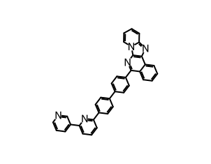 c1cncc(-c2cccc(-c3ccc(-c4ccc(-c5nc6c(nc7ccccn76)c6ccccc56)cc4)cc3)n2)c1